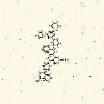 C=C/C=C1\C(=N)C(c2ccc(-c3ccc(C#N)c4ccccc34)cc2)=Cc2c1cc(-c1cccc(-c3nc(-c4ccccc4)nc(-c4ccccc4)n3)c1)c1ccccc21